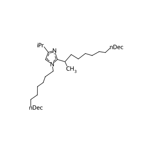 CCCCCCCCCCCCCCCCC(C)c1nc(C(C)C)cn1CCCCCCCCCCCCCCCC